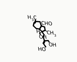 CC1=CCC[C@H]2[C@@](C=O)(C1)C[C@@H](C)[C@]2(CO)CC/C(=C/CO)CO